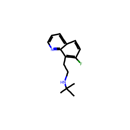 CC(C)(C)NCCc1c(F)ccc2cccnc12